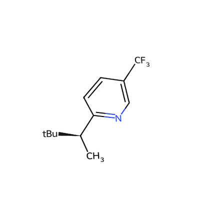 C[C@H](c1ccc(C(F)(F)F)cn1)C(C)(C)C